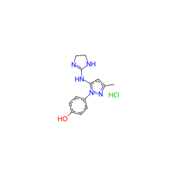 Cc1cc(NC2=NCCN2)n(-c2ccc(O)cc2)n1.Cl